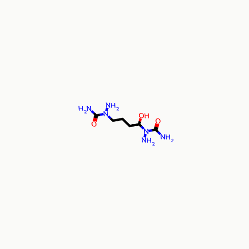 NC(=O)N(N)CCCC(O)N(N)C(N)=O